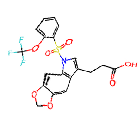 O=C(O)CCc1cn(S(=O)(=O)c2ccccc2OC(F)(F)F)c2cc3c(cc12)OCO3